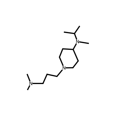 CC(C)N(C)C1CCN(CCCN(C)C)CC1